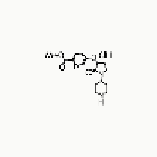 COC(=O)c1ccc(OC2CCN(C3CCNCC3)C2=O)cn1.Cl